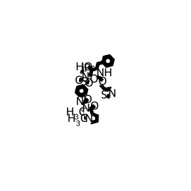 CC(C)CN(CC(O)C(Cc1ccccc1)NC(=O)OCc1cncs1)S(=O)(=O)c1ccc2nc(N(C)C(=O)C3CCCN3C)oc2c1